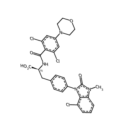 Cn1c(=O)n(-c2ccc(C[C@H](NC(=O)c3c(Cl)cc(N4CCOCC4)cc3Cl)C(=O)O)cc2)c2c(Cl)cccc21